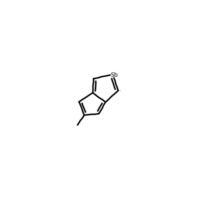 CC1=CC2=[CH][Sb]=[C]C2=C1